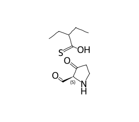 CCC(CC)C(O)=S.O=C[C@@H]1NCCC1=O